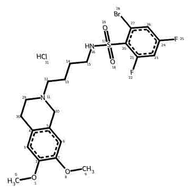 COc1cc2c(cc1OC)CN(CCCCNS(=O)(=O)c1c(F)cc(F)cc1Br)CC2.Cl